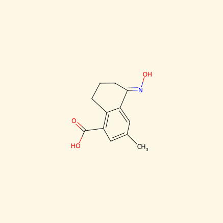 Cc1cc(C(=O)O)c2c(c1)C(=NO)CCC2